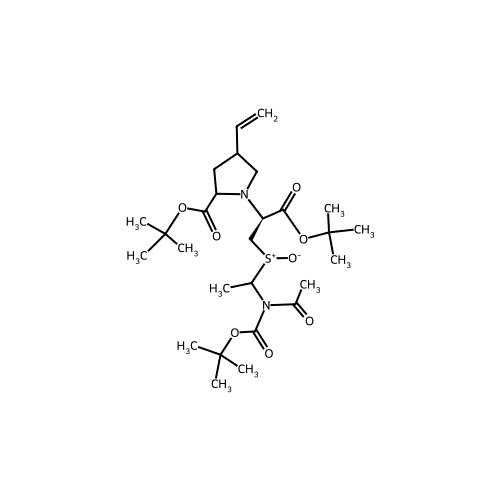 C=CC1CC(C(=O)OC(C)(C)C)N([C@H](C[S+]([O-])C(C)N(C(C)=O)C(=O)OC(C)(C)C)C(=O)OC(C)(C)C)C1